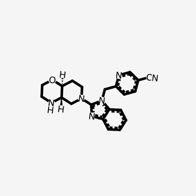 N#Cc1ccc(Cn2c(N3CC[C@@H]4OCCN[C@H]4C3)nc3ccccc32)nc1